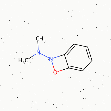 CN(C)n1oc2ccccc21